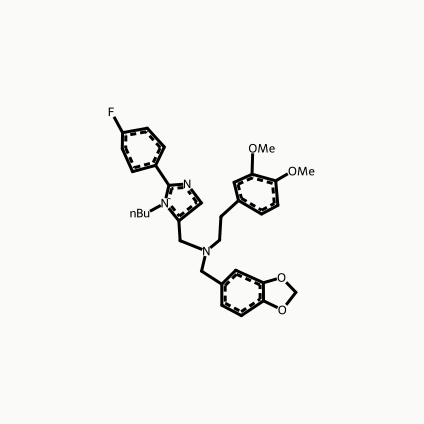 CCCCn1c(CN(CCc2ccc(OC)c(OC)c2)Cc2ccc3c(c2)OCO3)cnc1-c1ccc(F)cc1